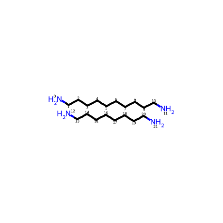 NCCCCCCCCCCN.NCCCCCCCCN